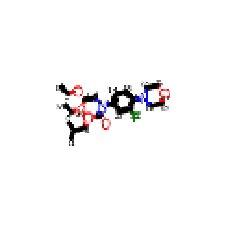 CCOC(CN(C(=O)OCC(C)C)c1ccc(N2CCOCC2)c(F)c1)OCC